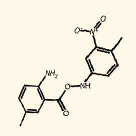 Cc1ccc(N)c(C(=O)ONc2ccc(C)c([N+](=O)[O-])c2)c1